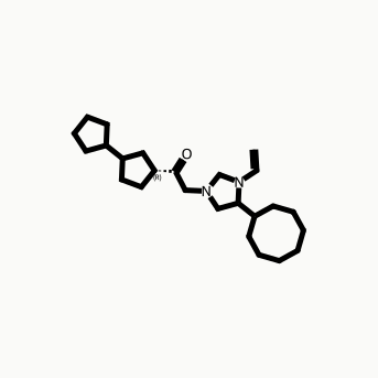 C=CN1CN(CC(=O)[C@@H]2CCC(C3CCCC3)C2)CC1C1CCCCCCC1